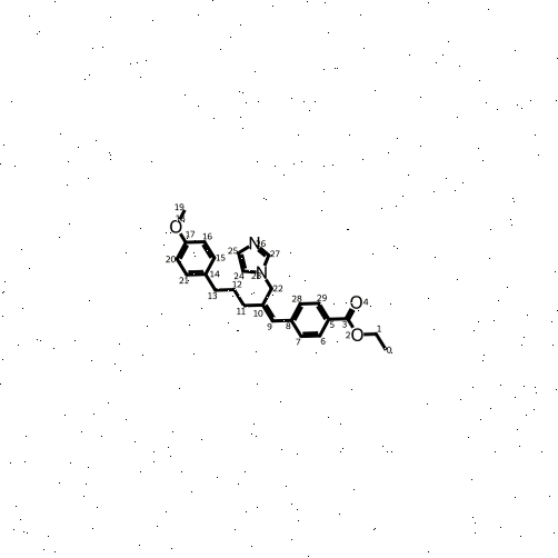 CCOC(=O)c1ccc(C=C(CCCc2ccc(OC)cc2)Cn2ccnc2)cc1